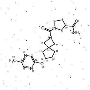 NC(=O)[C@H]1CCN(C(=O)N2CC3(CC[C@H](Oc4cnc(C(F)(F)F)cn4)C3)C2)C1